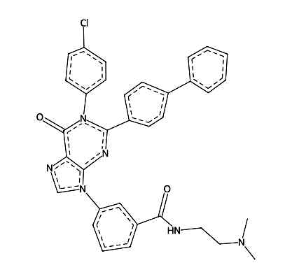 CN(C)CCNC(=O)c1cccc(-n2cnc3c(=O)n(-c4ccc(Cl)cc4)c(-c4ccc(-c5ccccc5)cc4)nc32)c1